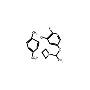 CC(Oc1cnc(F)c(Cl)c1)N1CCC1.Cc1ccc(S(=O)(=O)O)cc1